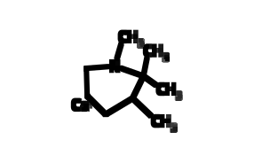 CC1CCCN(C)C1(C)C.[Ca]